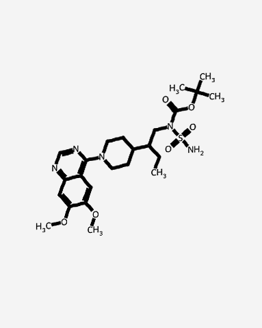 CCC(CN(C(=O)OC(C)(C)C)S(N)(=O)=O)C1CCN(c2ncnc3cc(OC)c(OC)cc23)CC1